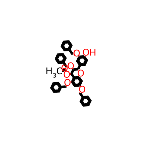 CC(=O)OC1c2c(OCc3ccccc3)cc(OCc3ccccc3)cc2OC(c2ccc(O)c(OCc3ccccc3)c2)C1OCc1ccccc1